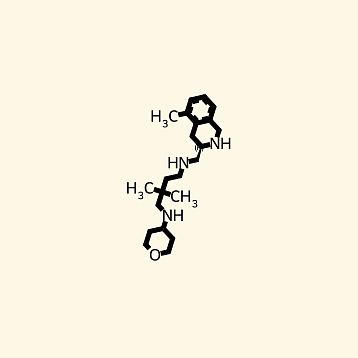 Cc1cccc2c1C[C@H](CNCCC(C)(C)CNC1CCOCC1)NC2